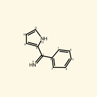 N=C(c1ccccc1)c1ccc[nH]1